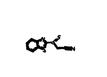 N#CCS(=S)c1nc2ccccc2s1